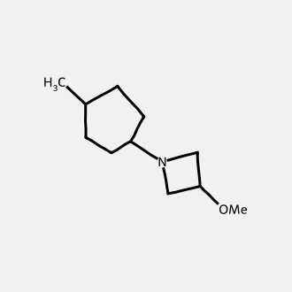 COC1CN(C2CCC(C)CC2)C1